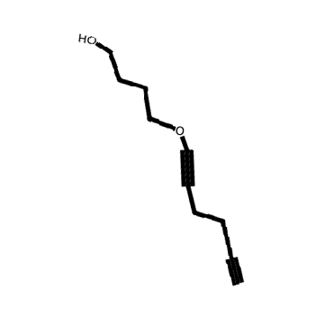 C#CCCC#COCCCCO